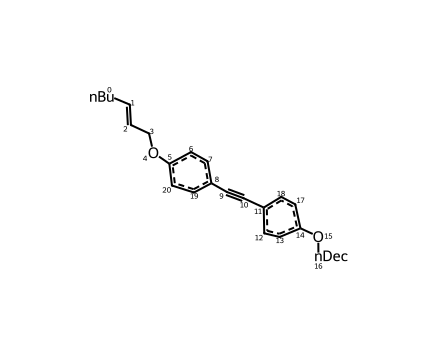 CCCCC=CCOc1ccc(C#Cc2ccc(OCCCCCCCCCC)cc2)cc1